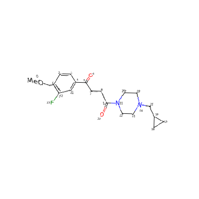 COc1ccc(C(=O)CCC(=O)N2CCN(CC3CC3)CC2)cc1F